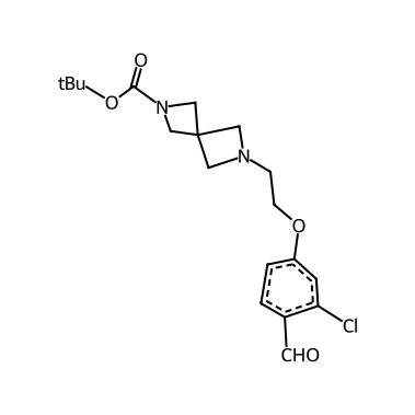 CC(C)(C)OC(=O)N1CC2(CN(CCOc3ccc(C=O)c(Cl)c3)C2)C1